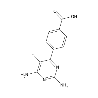 Nc1nc(N)c(F)c(-c2ccc(C(=O)O)cc2)n1